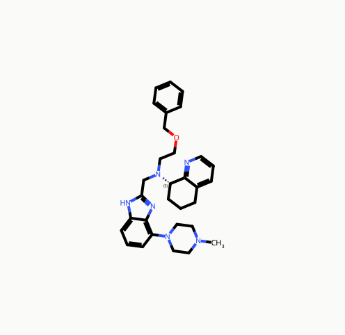 CN1CCN(c2cccc3[nH]c(CN(CCOCc4ccccc4)[C@H]4CCCc5cccnc54)nc23)CC1